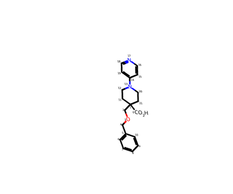 O=C(O)C1(COCc2ccccc2)CCN(c2ccncc2)CC1